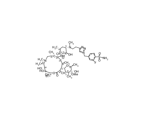 CC[C@H]1OC(=O)[C@H](C)[C@@H](C2C[C@@](C)(OC)[C@@H](O)[C@H](C)O2)[C@H](C)[C@@H](O[C@@H]2O[C@H](C)C[C@H](N(C)CCc3cn(Cc4ccc(S(N)(=O)=O)c(F)c4)nn3)[C@H]2O)[C@](C)(O)C[C@@H](C)CN(C)[C@H](C)[C@@H](O)[C@]1(C)O